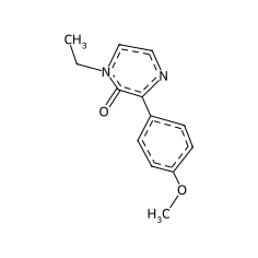 CCn1ccnc(-c2ccc(OC)cc2)c1=O